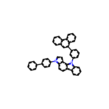 c1ccc(-c2ccc(-n3ccc4c3ccc3c5ccccc5n(-c5cccc(-c6cc7ccccc7c7ccccc67)c5)c34)cc2)cc1